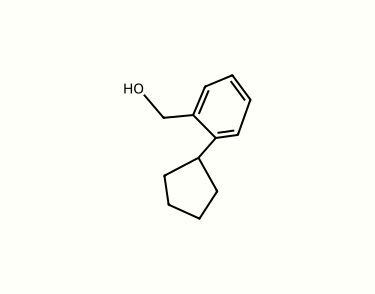 OCc1ccccc1C1CCCC1